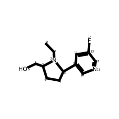 CCN1C(CO)CCC1c1cncc(F)c1